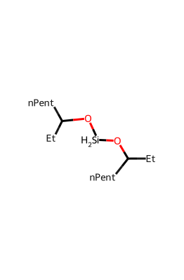 CCCCCC(CC)O[SiH2]OC(CC)CCCCC